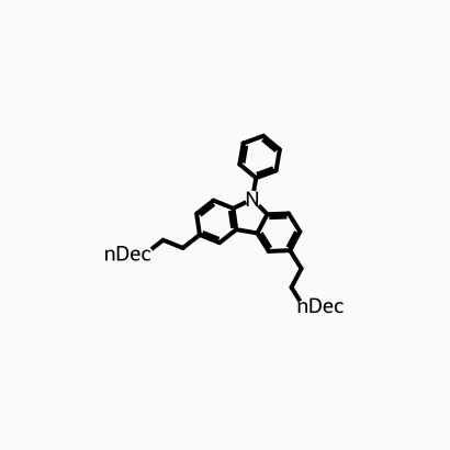 CCCCCCCCCCCCc1ccc2c(c1)c1cc(CCCCCCCCCCCC)ccc1n2-c1ccccc1